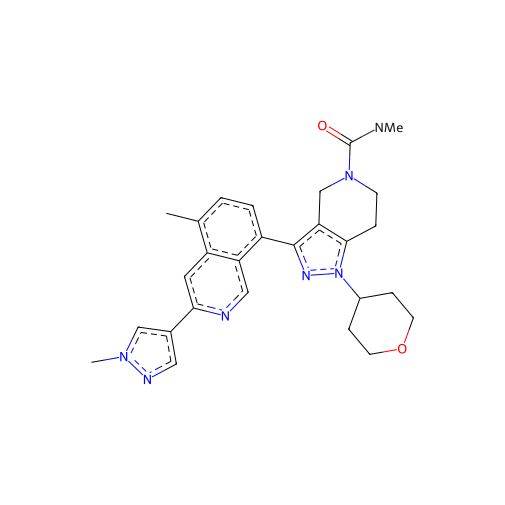 CNC(=O)N1CCc2c(c(-c3ccc(C)c4cc(-c5cnn(C)c5)ncc34)nn2C2CCOCC2)C1